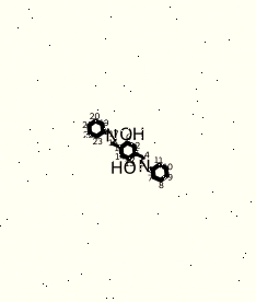 Oc1cc(C=Nc2ccccc2)c(O)cc1C=Nc1ccccc1